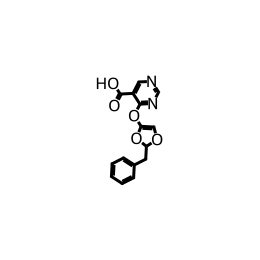 O=C(O)c1cncnc1OC1=COC(Cc2ccccc2)O1